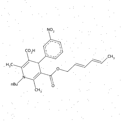 CC=CC=CCOC(=O)C1=C(C)N(CCCC)C(C)=C(C(=O)O)C1c1cccc([N+](=O)[O-])c1